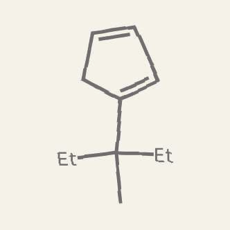 CCC(C)(CC)C1=CC=CC1